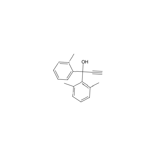 C#CC(O)(c1ccccc1C)c1c(C)cccc1C